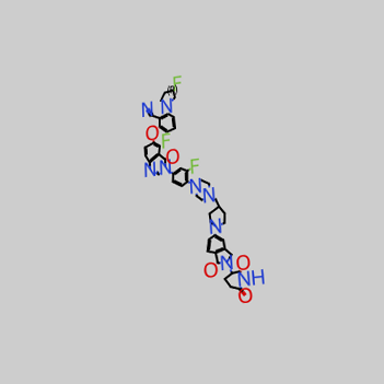 N#Cc1c(N2CC[C@@H](F)C2)ccc(F)c1Oc1ccc2ncn(-c3ccc(N4CCN(CC5CCN(c6ccc7c(c6)CN(C6CCC(=O)NC6=O)C7=O)CC5)CC4)c(F)c3)c(=O)c2c1